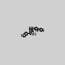 CN1CCN(c2ccc(Nc3ncc4c(-c5ccc6cnccc6c5)c[nH]c4n3)cn2)CC1